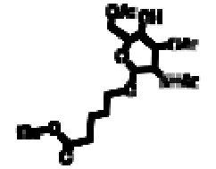 CC(=O)NC1C(OCCCCC(=O)OC(C)(C)C)OC(COC(C)=O)C(O)C1OC(C)=O